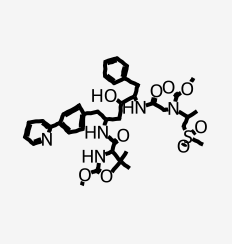 COC(=O)NC(C(=O)NC(Cc1ccc(-c2ccccn2)cc1)CC(O)C(Cc1ccccc1)NC(=O)CN(C(=O)OC)C(C)CS(C)(=O)=O)C(C)(C)C